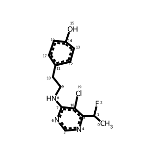 CC(F)c1ncnc(NCCc2ccc(O)cc2)c1Cl